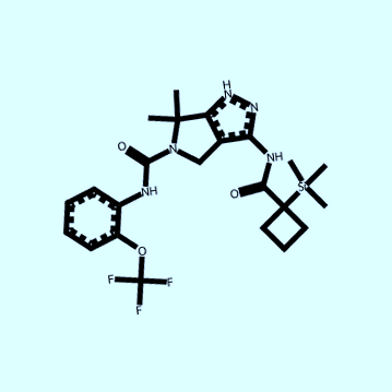 CC1(C)c2[nH]nc(NC(=O)C3([Si](C)(C)C)CCC3)c2CN1C(=O)Nc1ccccc1OC(F)(F)F